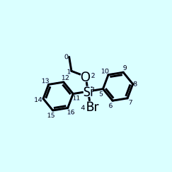 CCO[Si](Br)(c1ccccc1)c1ccccc1